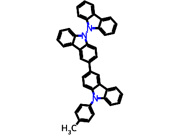 Cc1ccc(-n2c3ccccc3c3cc(-c4ccc5c(c4)c4ccccc4n5-n4c5ccccc5c5ccccc54)ccc32)cc1